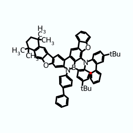 CC(C)(C)c1ccc2c(c1)B1c3c(cc4c(oc5ccccc54)c3N2c2ccc(C(C)(C)C)cc2-c2ccccc2)-c2cc3c(cc2N1c1ccc(-c2ccccc2)cc1)oc1cc2c(cc13)C(C)(C)CCC2(C)C